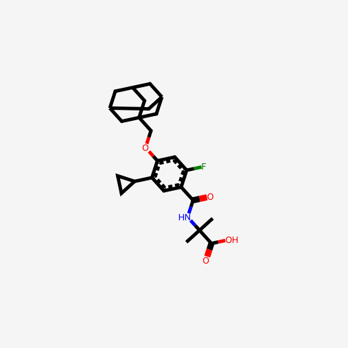 CC(C)(NC(=O)c1cc(C2CC2)c(OCC23CC4CC(CC(C4)C2)C3)cc1F)C(=O)O